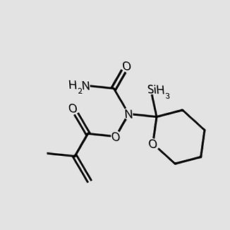 C=C(C)C(=O)ON(C(N)=O)C1([SiH3])CCCCO1